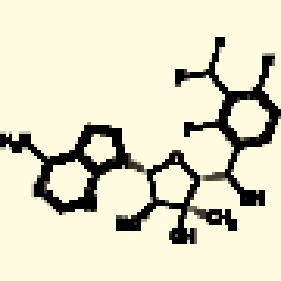 C[C@@]1(O)[C@@H](C(O)c2ccc(F)c(C(F)F)c2F)O[C@@H](n2ccc3c(N)ncnc32)[C@@H]1O